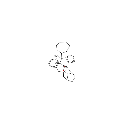 C[N+]1(Cc2ccccc2)CC2CCC(C1)C2COC(=O)C(O)(c1cccs1)C1CCCCCC1